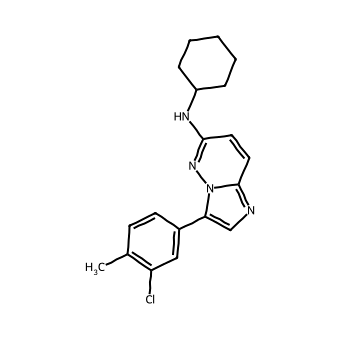 Cc1ccc(-c2cnc3ccc(NC4CCCCC4)nn23)cc1Cl